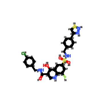 O=C(NCc1ccc(Cl)cc1)c1cnc2c(F)cc(S(=O)(=O)NCc3ccc(-c4csnn4)cc3)cc2c1O